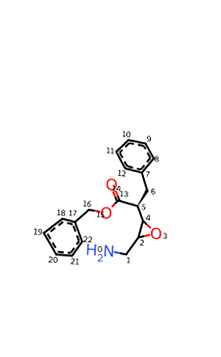 NCC1OC1[C@H](Cc1ccccc1)C(=O)OCc1ccccc1